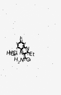 CCc1nc2cc(I)ccc2nc1C(N)=O.Cl.Cl